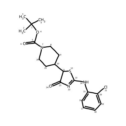 CC(C)(C)OC(=O)N1CCC(C2SC(Nc3ccccc3Cl)=NC2=O)CC1